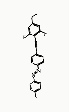 CCc1cc(F)c(C#Cc2ccc(N=Nc3ccc(C)cc3)cc2)c(F)c1